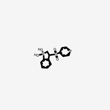 O=S(=O)(c1ccncc1)C1CS(O)(O)c2ccccc21